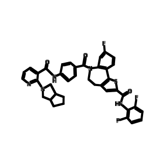 O=C(Nc1c(F)cccc1F)c1cc2c(s1)-c1ccc(F)cc1N(C(=O)c1ccc(NC(=O)c3cccnc3N3CC4CCCC4C3)cc1)CC2